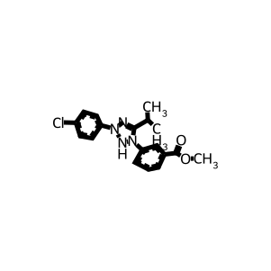 COC(=O)c1cccc(N2NN(c3ccc(Cl)cc3)N=C2C(C)C)c1